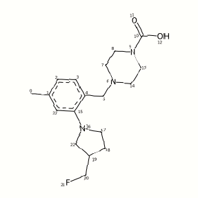 Cc1ccc(CN2CCN(C(=O)O)CC2)c(N2CCC(CF)C2)c1